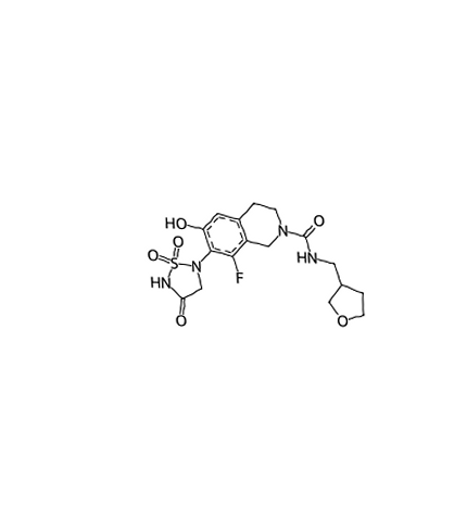 O=C1CN(c2c(O)cc3c(c2F)CN(C(=O)NCC2CCOC2)CC3)S(=O)(=O)N1